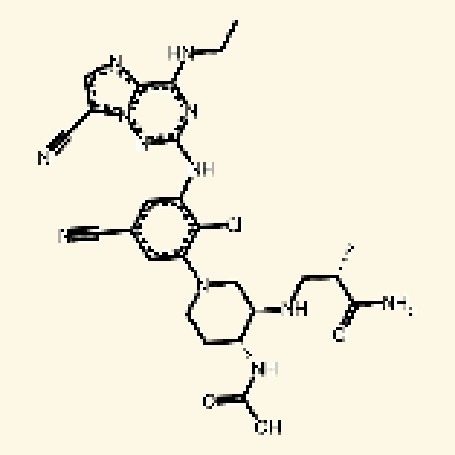 CCNc1nc(Nc2cc(C#N)cc(N3CC[C@@H](NC(=O)O)[C@H](NC[C@H](C)C(N)=O)C3)c2Cl)nn2c(C#N)cnc12